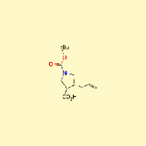 C=CC[C@H]1CN(C(=O)OC(C)(C)C)CC1C(=O)O